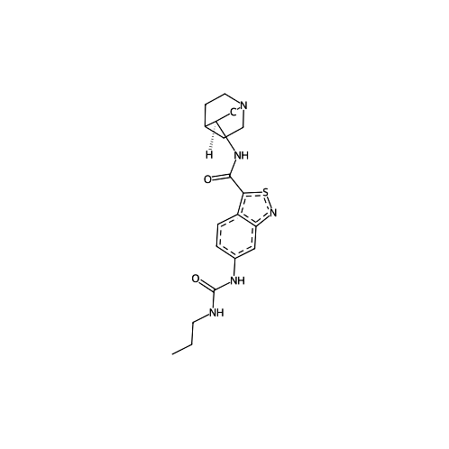 CCCNC(=O)Nc1ccc2c(C(=O)N[C@@H]3CN4CCC3CC4)snc2c1